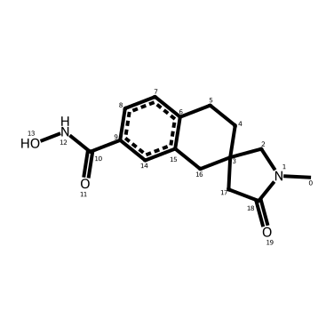 CN1CC2(CCc3ccc(C(=O)NO)cc3C2)CC1=O